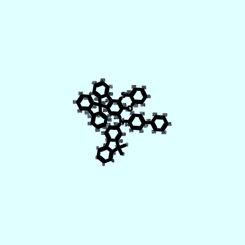 CC1(C)c2ccccc2-c2ccc(N(c3ccc(-c4ccccc4)cc3)c3cc4c(c5c3Oc3ccccc3S5)-c3ccccc3C43c4ccccc4-c4ccccc43)cc21